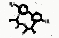 FC(F)=C(F)OC(F)=C(F)F.Nc1ccc(-c2ccc(N)cc2)cc1